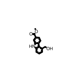 COC(=O)c1ccc2c(c1)[nH]c1cccc(CO)c12